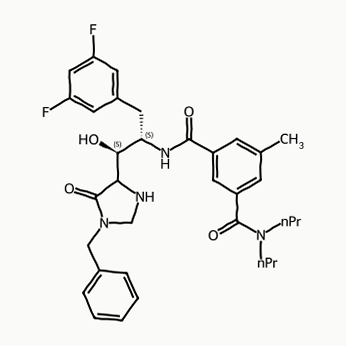 CCCN(CCC)C(=O)c1cc(C)cc(C(=O)N[C@@H](Cc2cc(F)cc(F)c2)[C@H](O)C2NCN(Cc3ccccc3)C2=O)c1